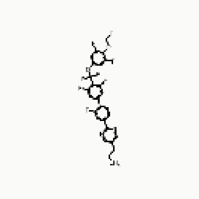 CCCc1cnc(-c2ccc(-c3cc(F)c(C(F)(F)Oc4cc(F)c(OCF)c(F)c4)c(F)c3)c(F)c2)nc1